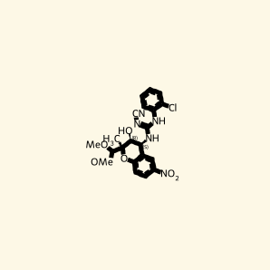 COC(OC)[C@@]1(C)Oc2ccc([N+](=O)[O-])cc2[C@H](NC(=NC#N)Nc2ccccc2Cl)[C@H]1O